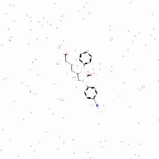 COC(=O)CCCC1CN(c2ccc(C#N)cc2)C(=O)N1c1ccccc1